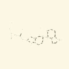 Cc1ccc2[nH]ccc2c1-c1ccc2nc(NC(=O)C3CC3CO)sc2c1